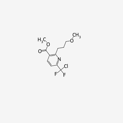 COCCCc1nc(C(F)(F)Cl)ccc1C(=O)OC